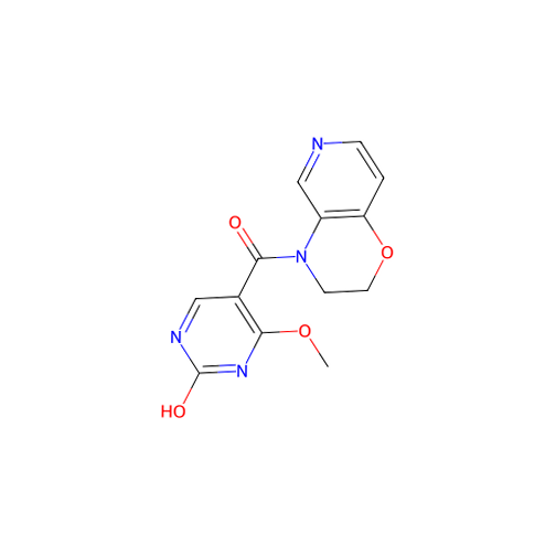 COc1nc(O)ncc1C(=O)N1CCOc2ccncc21